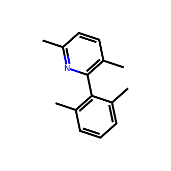 Cc1ccc(C)c(-c2c(C)cccc2C)n1